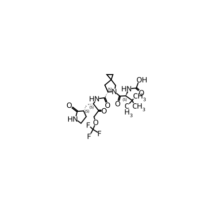 CC(C)(C)[C@H](NC(=O)O)C(=O)N1CC2(CC2)C[C@H]1C(=O)N[C@@H](C[C@@H]1CCNC1=O)C(=O)COC(F)(F)F